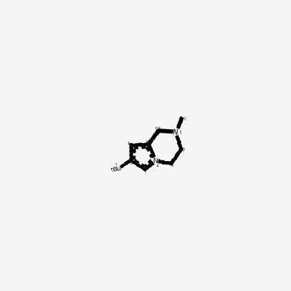 CN1CCn2cc(C(C)(C)C)cc2C1